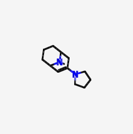 CN1C2C=C(N3CCCC3)CC1CCC2